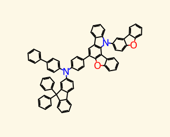 c1ccc(-c2ccc(N(c3ccc(-c4cc5c6ccccc6n(-c6ccc7oc8ccccc8c7c6)c5c5c4oc4ccccc45)cc3)c3ccc4c(c3)C(c3ccccc3)(c3ccccc3)c3ccccc3-4)cc2)cc1